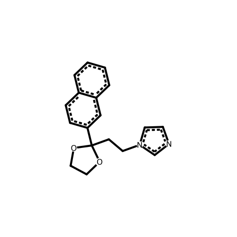 c1ccc2cc(C3(CCn4ccnc4)OCCO3)ccc2c1